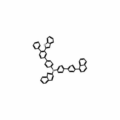 c1ccc(-c2ccc(-c3ccc(N(c4ccc(-c5ccc(-c6cccc7ccccc67)cc5)cc4)c4ccc5ccccc5c4)cc3)cc2-c2cc3ccccc3o2)cc1